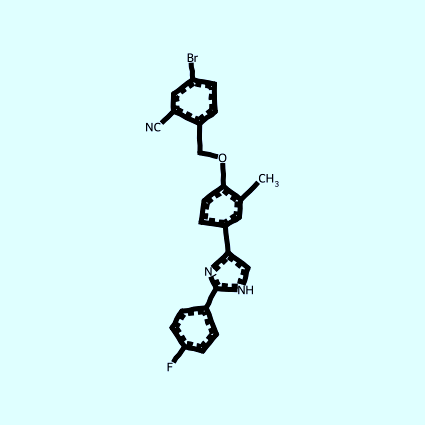 Cc1cc(-c2c[nH]c(-c3ccc(F)cc3)n2)ccc1OCc1ccc(Br)cc1C#N